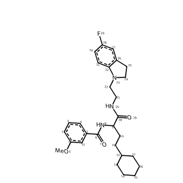 COc1cccc(C(=O)NC(CCC2CCCCC2)C(=O)NCCN2CCc3cc(F)ccc32)c1